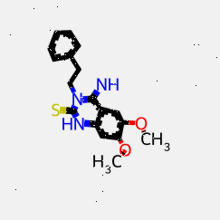 COc1cc2[nH]c(=S)n(CCc3ccccc3)c(=N)c2cc1OC